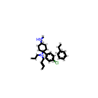 CC=CCN(CCC)C1(c2ccc(Cl)cc2)CCC(NC)CC1.CCc1ccccc1